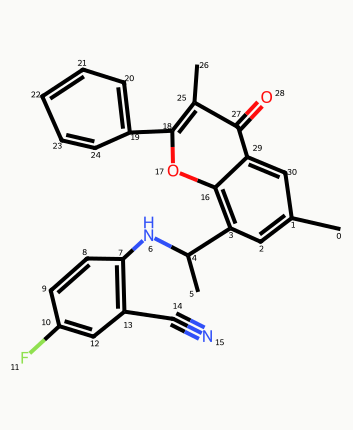 Cc1cc(C(C)Nc2ccc(F)cc2C#N)c2oc(-c3ccccc3)c(C)c(=O)c2c1